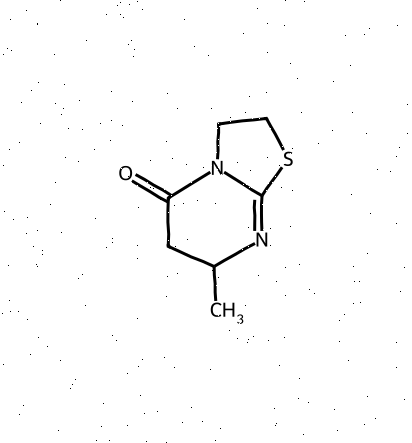 CC1CC(=O)N2CCSC2=N1